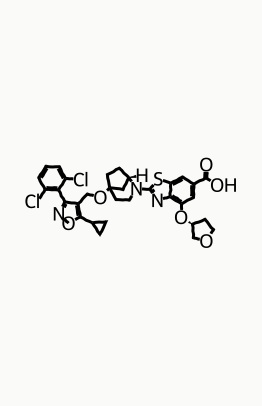 O=C(O)c1cc(O[C@@H]2CCOC2)c2nc(N3CCC4(OCc5c(-c6c(Cl)cccc6Cl)noc5C5CC5)CC[C@H]3C4)sc2c1